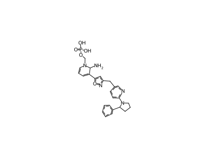 NC1C(c2cc(Cc3ccc(N4CCCC4c4ccccc4)nc3)no2)=CC=CN1COP(=O)(O)O